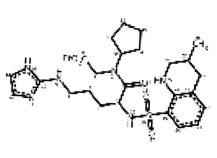 CCOC(=O)CN(C(=O)[C@H](CCCNc1ncc[nH]1)NS(=O)(=O)c1cccc2c1NCC(C)C2)C1CCCC1